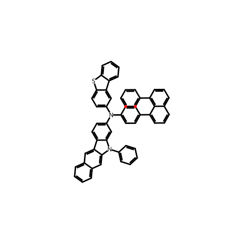 c1ccc(-c2cccc3cccc(-c4ccc(N(c5ccc6sc7ccccc7c6c5)c5ccc6c7cc8ccccc8cc7n(-c7ccccc7)c6c5)cc4)c23)cc1